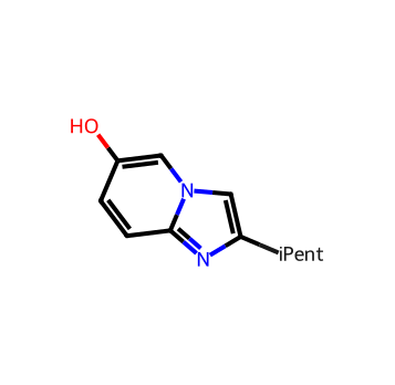 CCCC(C)c1cn2cc(O)ccc2n1